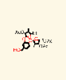 CC[C@H]1O[C@@H](Oc2cc(CO)ccc2O[C@@H]2O[C@H](COC(C)=O)[C@@H](OC(C)=O)[C@H]2C)[C@@H](OC(C)=O)C1C